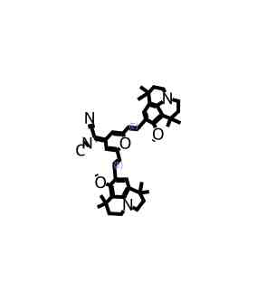 [C-]#[N+]C(C#N)=C1C=C(/C=C/c2cc3c4c(c2OC)C(C)(C)CCN4CCC3(C)C)OC(/C=C/c2cc3c4c(c2OC)C(C)(C)CCN4CCC3(C)C)=C1